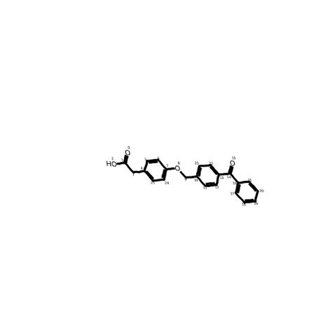 O=C(O)Cc1ccc(OCc2ccc(C(=O)c3ccccc3)cc2)cc1